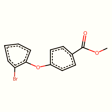 COC(=O)c1ccc(Oc2ccccc2Br)cc1